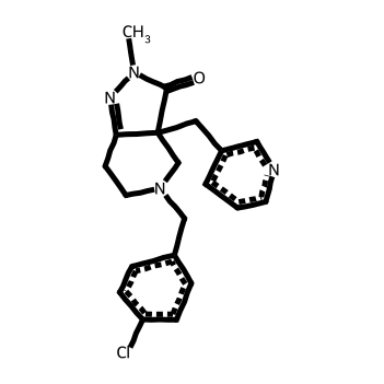 CN1N=C2CCN(Cc3ccc(Cl)cc3)CC2(Cc2cccnc2)C1=O